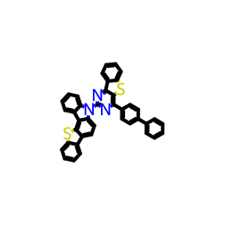 c1ccc(-c2ccc(-c3nc(-n4c5ccccc5c5c6sc7ccccc7c6ccc54)nc4c3sc3ccccc34)cc2)cc1